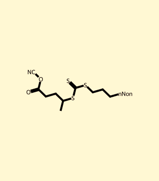 CCCCCCCCCCCCSC(=S)SC(C)CCC(=O)OC#N